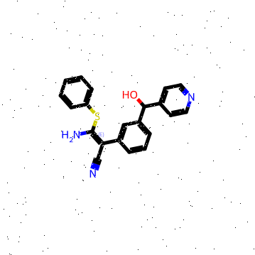 N#C/C(=C(\N)Sc1ccccc1)c1cccc(C(O)c2ccncc2)c1